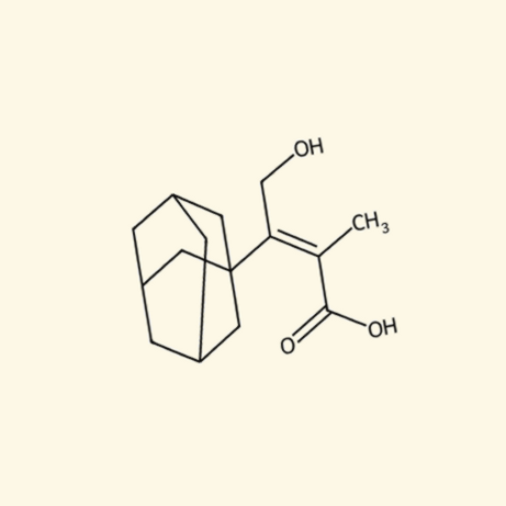 CC(C(=O)O)=C(CO)C12CC3CC(CC(C3)C1)C2